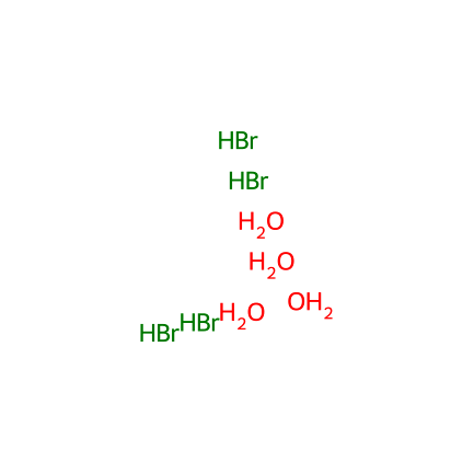 Br.Br.Br.Br.O.O.O.O